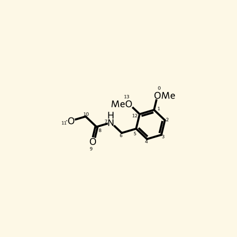 COc1cccc(CNC(=O)C[O])c1OC